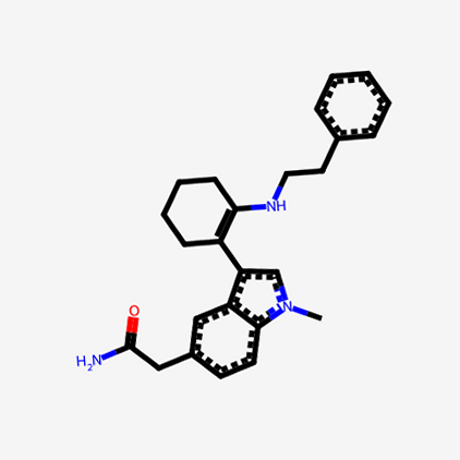 Cn1cc(C2=C(NCCc3ccccc3)CCCC2)c2cc(CC(N)=O)ccc21